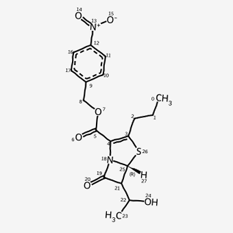 CCCC1=C(C(=O)OCc2ccc([N+](=O)[O-])cc2)N2C(=O)C(C(C)O)[C@H]2S1